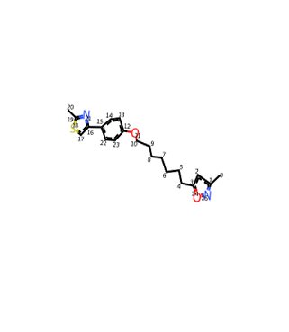 Cc1cc(CCCCCCCOc2ccc(-c3csc(C)n3)cc2)on1